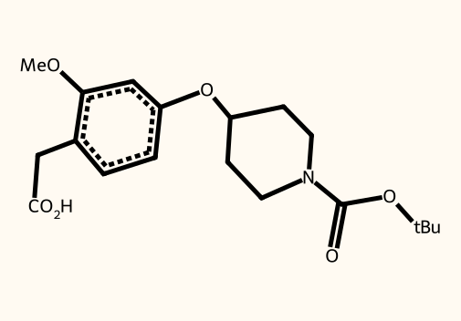 COc1cc(OC2CCN(C(=O)OC(C)(C)C)CC2)ccc1CC(=O)O